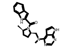 C[C@@H]1CC[C@H](CN(C)c2ncnc3[nH]ccc23)N1C(=O)c1cc2ccccc2[nH]1